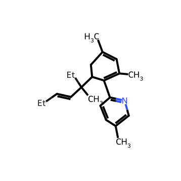 CCC=CC(C)(CC)C1CC(C)=CC(C)=C1c1ccc(C)cn1